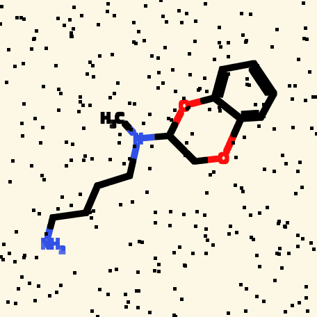 CN(CCCCN)C1COc2ccccc2O1